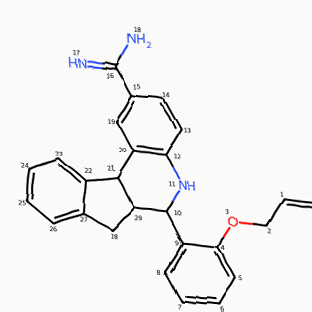 C=CCOc1ccccc1C1Nc2ccc(C(=N)N)cc2C2c3ccccc3CC12